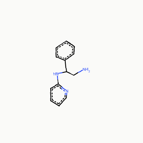 NCC(Nc1ccccn1)c1ccccc1